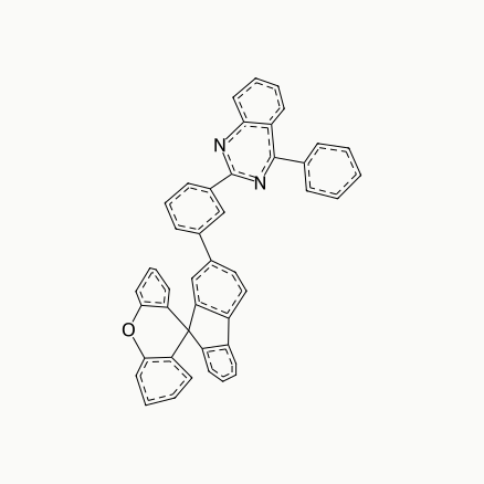 c1ccc(-c2nc(-c3cccc(-c4ccc5c(c4)C4(c6ccccc6Oc6ccccc64)c4ccccc4-5)c3)nc3ccccc23)cc1